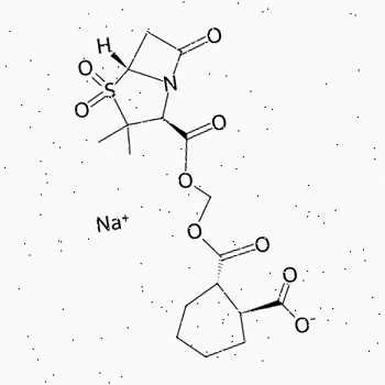 CC1(C)[C@H](C(=O)OCOC(=O)[C@H]2CCCC[C@@H]2C(=O)[O-])N2C(=O)C[C@H]2S1(=O)=O.[Na+]